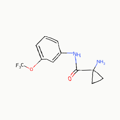 NC1(C(=O)Nc2cccc(OC(F)(F)F)c2)CC1